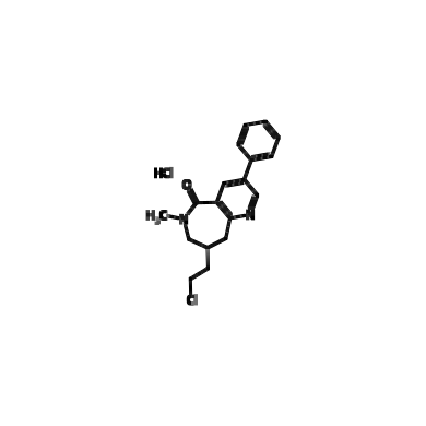 CN1CC(CCCl)Cc2ncc(-c3ccccc3)cc2C1=O.Cl